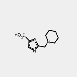 O=C(O)c1cnc(CN2CCCCC2)s1